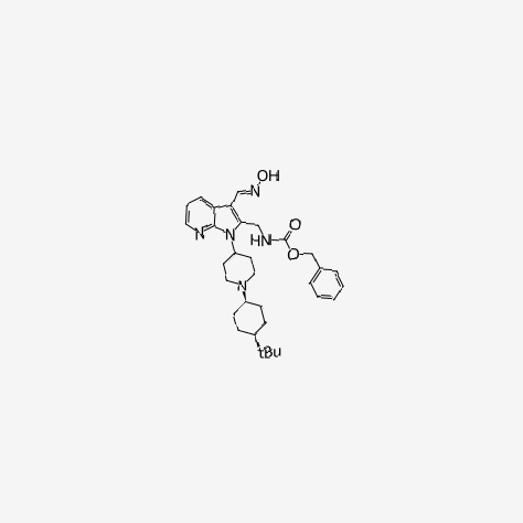 CC(C)(C)[C@H]1CC[C@@H](N2CCC(n3c(CNC(=O)OCc4ccccc4)c(C=NO)c4cccnc43)CC2)CC1